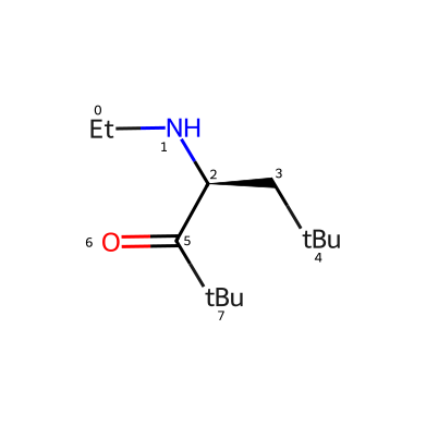 CCN[C@@H](CC(C)(C)C)C(=O)C(C)(C)C